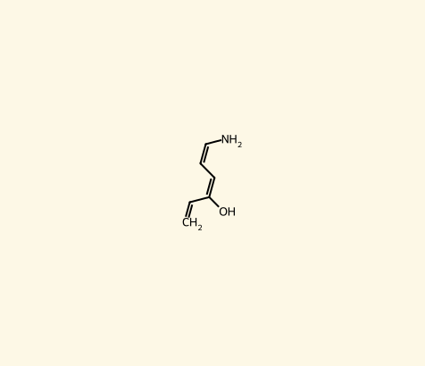 C=C/C(O)=C\C=C/N